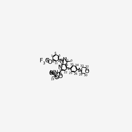 Cc1nn(-c2cccc(OC(F)(F)F)c2)c2nc(C(=O)NS(C)(=O)=O)cc(-c3ccc(N4CCOCC4)cc3)c12